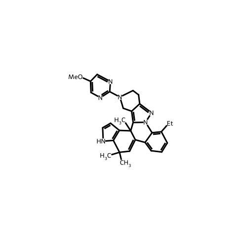 CCc1cccc2c1-n1nc3c(c1C1(C)C2=CC(C)(C)c2[nH]ccc21)CN(c1ncc(OC)cn1)CC3